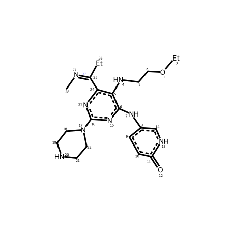 CCOCCNc1c(Nc2ccc(=O)[nH]c2)nc(N2CCNCC2)nc1/C(CC)=N\C